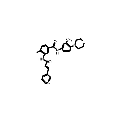 Cc1ccc(C(=O)Nc2ccc(N3CCOCC3)c(C(F)(F)F)c2)cc1NC(=O)C=Cc1cccnc1